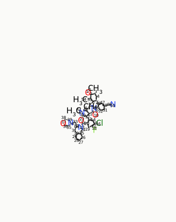 COc1cccc(CN(C(=O)c2c(-c3cc(Cl)c(F)cc3C(=O)N3Cc4ccccc4C[C@H]3CN3CCOCC3)cn(C)c2C)c2ccc(C#N)cc2)c1C